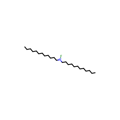 CCCCCCCCCCCCN(F)CCCCCCCCCCCC